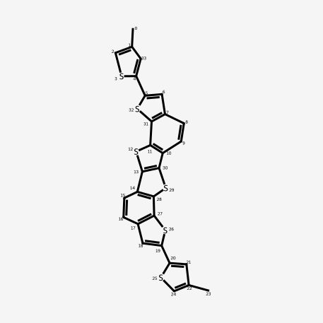 Cc1csc(-c2cc3ccc4c(sc5c6ccc7cc(-c8cc(C)cs8)sc7c6sc45)c3s2)c1